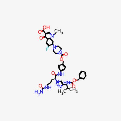 CCn1cc(C(=O)O)c(=O)c2cc(F)c(N3CCN(C(=O)OCc4ccc(NC(=O)[C@H](CCCNC(N)=O)n5cc(C(NC(=O)OCc6ccccc6)C(C)C)nn5)cc4)CC3)cc21